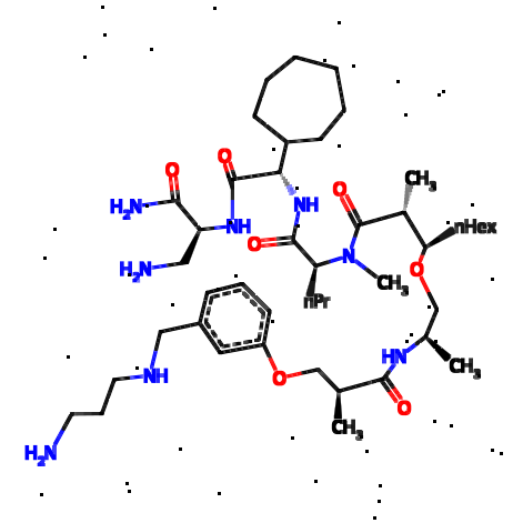 CCCCCC[C@@H](OC[C@@H](C)NC(=O)[C@@H](C)COc1cccc(CNCCCN)c1)[C@@H](C)C(=O)N(C)[C@@H](CCC)C(=O)N[C@H](C(=O)N[C@@H](CN)C(N)=O)C1CCCCCC1